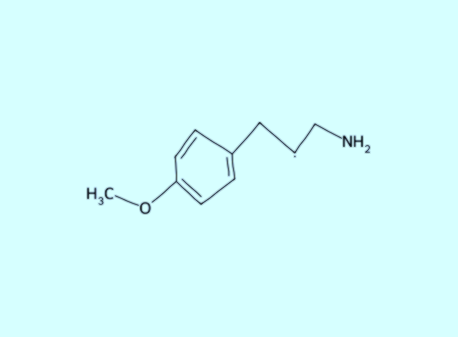 COc1ccc(C[CH]CN)cc1